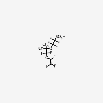 O=S(=O)(O)C(F)(F)C(F)(F)OC(F)(C(F)(F)F)C(F)(F)OC(F)=C(F)F.[Na]